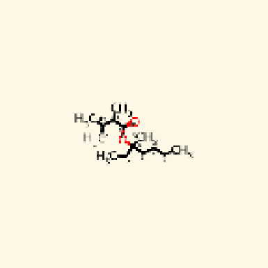 CCCCC(C)(CC)OC(=O)C(C)C(C)C